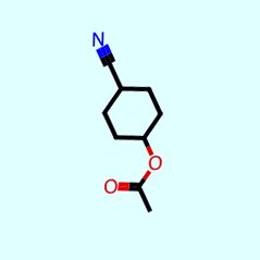 CC(=O)OC1CCC(C#N)CC1